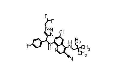 CC(C)(C)CNc1c(C#N)cnc2c(N[C@@H](c3ccc(F)cc3)c3cn(CC(F)F)nn3)cc(Cl)cc12